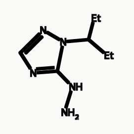 CCC(CC)n1ncnc1NN